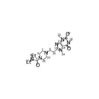 CCN(CC)C(=O)N1CCN(CCc2nc3c(c(=O)n(C)c(=O)n3C)n2C)CC1